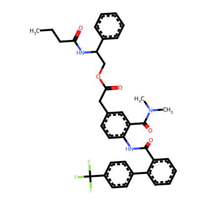 CCCC(=O)NC(COC(=O)Cc1ccc(NC(=O)c2ccccc2-c2ccc(C(F)(F)F)cc2)c(C(=O)N(C)C)c1)c1ccccc1